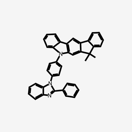 CC1(C)c2ccccc2-c2cc3c4ccccc4n(-c4ccc(-n5c(-c6ccccc6)nc6ccccc65)cc4)c3cc21